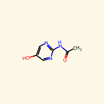 CC(=O)Nc1ncc(O)cn1